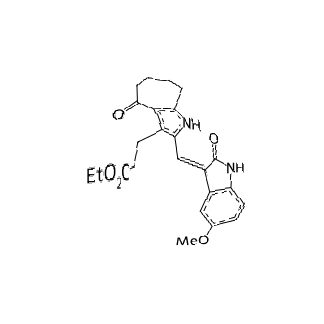 CCOC(=O)CCc1c(/C=C2\C(=O)Nc3ccc(OC)cc32)[nH]c2c1C(=O)CCCC2